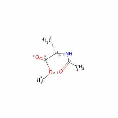 [CH2][C@H](NC(C)=O)C(=O)OC